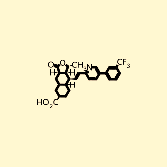 C[C@H]1OC(=O)[C@@H]2CC3C[C@H](C(=O)O)CC[C@H]3[C@H](/C=C/c3ccc(-c4cccc(C(F)(F)F)c4)cn3)[C@H]12